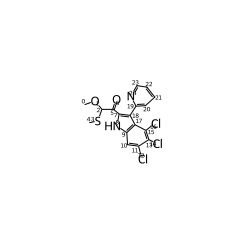 COC(SC)C(=O)c1[nH]c2cc(Cl)c(Cl)c(Cl)c2c1-c1ccccn1